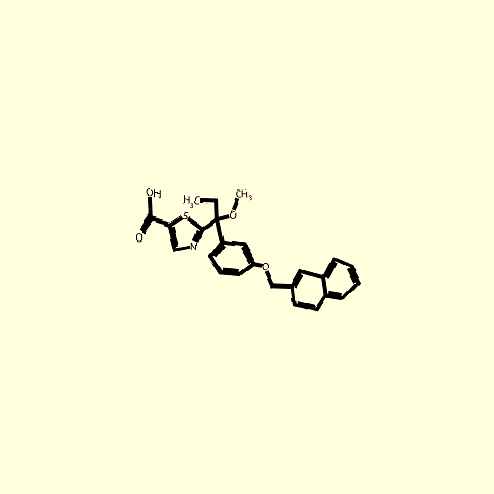 CCC(OC)(c1cccc(OCc2ccc3ccccc3c2)c1)c1ncc(C(=O)O)s1